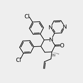 C=CC[C@@]1(C)CC(c2cccc(Cl)c2)C(c2ccc(Cl)cc2)N(c2cnccn2)C1=O